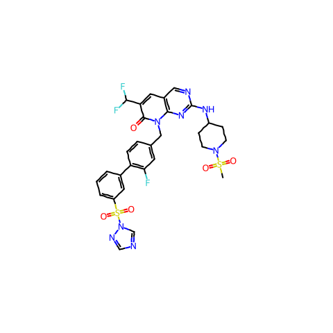 CS(=O)(=O)N1CCC(Nc2ncc3cc(C(F)F)c(=O)n(Cc4ccc(-c5cccc(S(=O)(=O)n6cncn6)c5)c(F)c4)c3n2)CC1